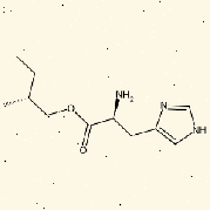 CC[C@@H](C)COC(=O)[C@@H](N)Cc1c[nH]cn1